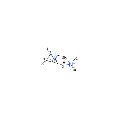 C[N+]1(C)C2=C1C13CCC21[N+]3(C)C